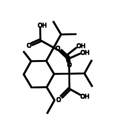 CCC1CCC(C)C(C(C(=O)O)(C(=O)O)C(C)C)C1C(C(=O)O)(C(=O)O)C(C)C